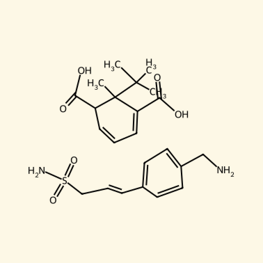 CC(C)(C)C1(C)C(C(=O)O)=CC=CC1C(=O)O.NCc1ccc(C=CCS(N)(=O)=O)cc1